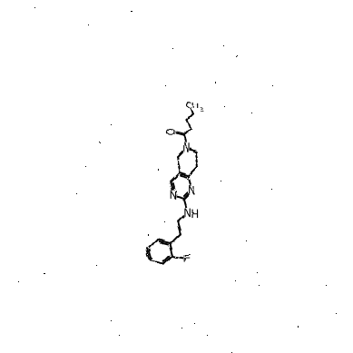 CCCCC(=O)N1CCc2nc(NCCc3ccccc3F)ncc2C1